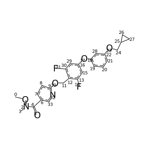 CON(C)C(=O)c1ccc(OCc2c(F)cc(Oc3cccc(OCC4CC4)c3)cc2F)nc1